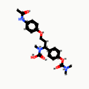 CC(=O)Nc1ccc(OCCC(c2ccc(OC(=O)N(C)C)cc2)N(C)C(=O)O)cc1